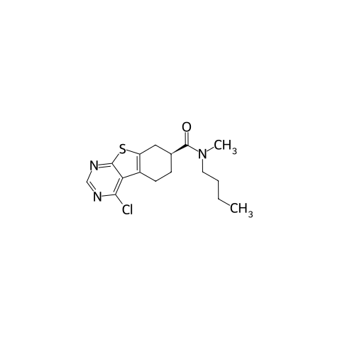 CCCCN(C)C(=O)[C@H]1CCc2c(sc3ncnc(Cl)c23)C1